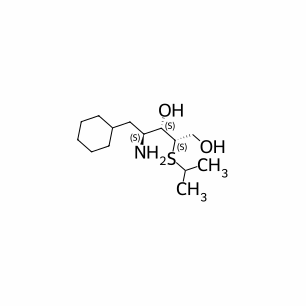 CC(C)S[C@@H](CO)[C@@H](O)[C@@H](N)CC1CCCCC1